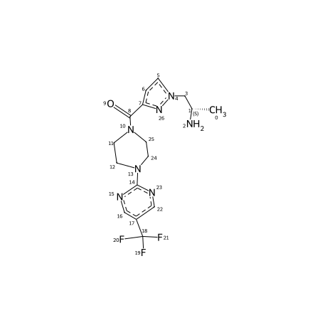 C[C@H](N)Cn1ccc(C(=O)N2CCN(c3ncc(C(F)(F)F)cn3)CC2)n1